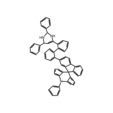 C1=C(c2ccccc2-c2ccccc2-c2ccc3c(c2)C2(c4ccccc4-3)c3ccccc3N(c3ccccc3)c3ccccc32)NC(c2ccccc2)NC1c1ccccc1